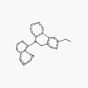 CCc1ccc2c(c1)-c1ccccc1N(c1cccc3cccnc13)C2